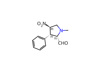 CN1C[C@H]([N+](=O)[O-])[C@@H](c2ccccc2)[C@H]1C=O